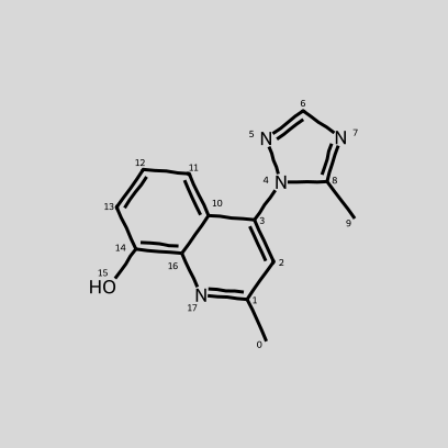 Cc1cc(-n2ncnc2C)c2cccc(O)c2n1